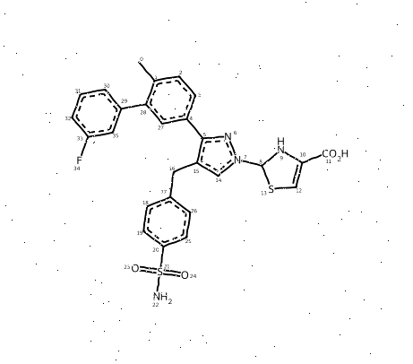 Cc1ccc(-c2nn(C3NC(C(=O)O)=CS3)cc2Cc2ccc(S(N)(=O)=O)cc2)cc1-c1cccc(F)c1